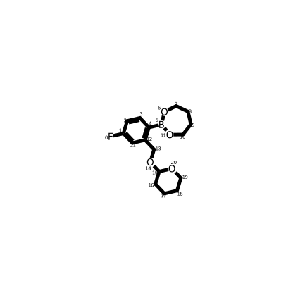 Fc1ccc(B2OCCCCO2)c(COC2CCCCO2)c1